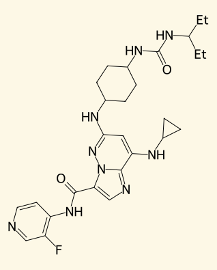 CCC(CC)NC(=O)NC1CCC(Nc2cc(NC3CC3)c3ncc(C(=O)Nc4ccncc4F)n3n2)CC1